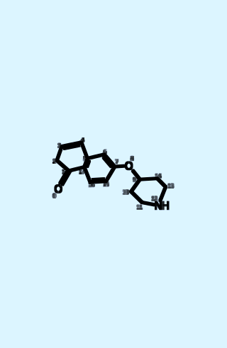 O=C1CC=Cc2cc(OC3CCNCC3)ccc21